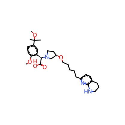 COc1ccc(C(C)(C)OC)cc1[C@H](C(=O)O)N1CC[C@@H](OCCCCCc2ccc3c(n2)NCCC3)C1